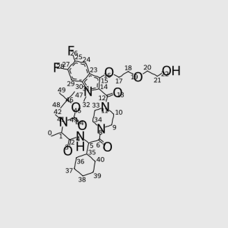 CC(C(=O)NC(C(=O)N1CCN(C(=O)c2c(OCCOCCO)c3cc(F)c(F)cc3n2C)CC1)C1CCCCC1)N(C)C(=O)OC(C)(C)C